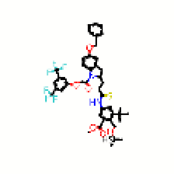 COC(=O)c1cc(NC(=S)CCC2Cc3cc(OCc4ccccc4)ccc3N2C(=O)COc2cc(C(F)(F)F)cc(C(F)(F)F)c2)cc(C(C)(C)C)c1CO[SiH](C)C